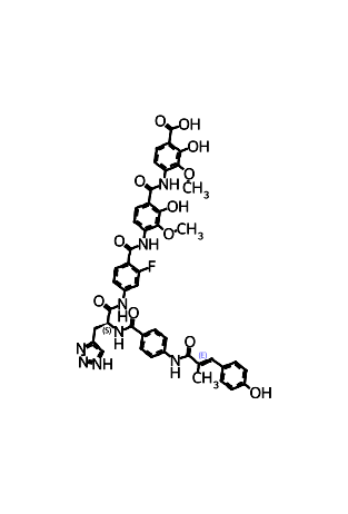 COc1c(NC(=O)c2ccc(NC(=O)c3ccc(NC(=O)[C@H](Cc4c[nH]nn4)NC(=O)c4ccc(NC(=O)/C(C)=C/c5ccc(O)cc5)cc4)cc3F)c(OC)c2O)ccc(C(=O)O)c1O